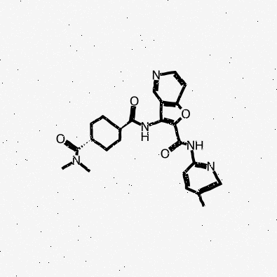 Cc1ccc(NC(=O)c2oc3ccncc3c2NC(=O)[C@H]2CC[C@H](C(=O)N(C)C)CC2)nc1